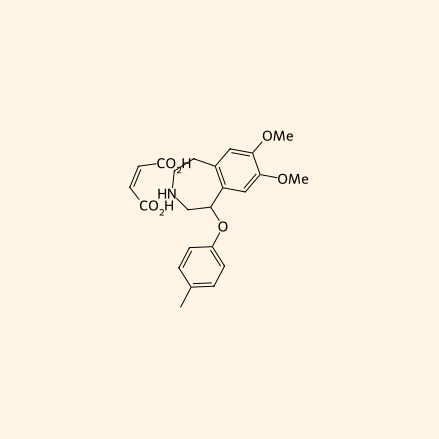 COc1cc2c(cc1OC)C(Oc1ccc(C)cc1)CNCC2.O=C(O)/C=C\C(=O)O